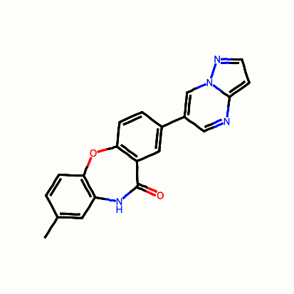 Cc1ccc2c(c1)NC(=O)c1cc(-c3cnc4ccnn4c3)ccc1O2